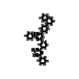 N=C(OC(N)c1cccc(C2=CC(c3ccc(-c4cccc5ccccc45)cc3)NC(c3ccccc3)=N2)c1)c1ccccc1